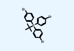 CC(C)(C)[B-](c1ccc(Br)cc1)(c1ccc(Br)cc1)c1ccc(Br)cc1